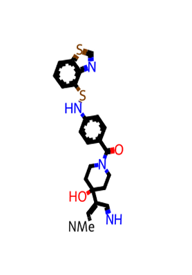 CN/C=C(\C=N)C1(O)CCN(C(=O)c2ccc(NSc3cccc4scnc34)cc2)CC1